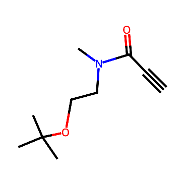 C#CC(=O)N(C)CCOC(C)(C)C